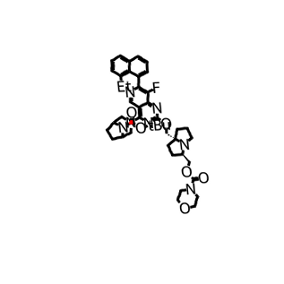 CCc1cccc2cccc(-c3ncc4c(N5CC6CCC(C5)N6C(=O)OC(C)(C)C)nc(OC[C@]56CCCN5[C@@H](COC(=O)N5CCOCC5)CC6)nc4c3F)c12